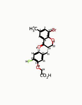 Cc1cc(Br)c2c(c1)C(=O)[C@@H](Cc1ccc(F)c(OCC(=O)O)c1)CO2